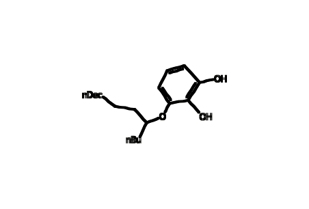 CCCCCCCCCCCCC(CCCC)Oc1cccc(O)c1O